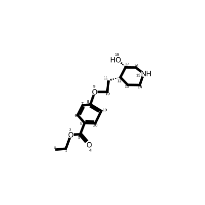 CCOC(=O)c1ccc(OCC[C@H]2CCNC[C@H]2O)cc1